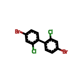 Clc1cc(Br)ccc1-c1ccc(Br)cc1Cl